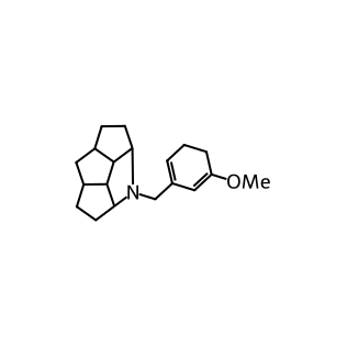 COC1=CC(CN2C3CCC4CC5CCC2C5C43)=CCC1